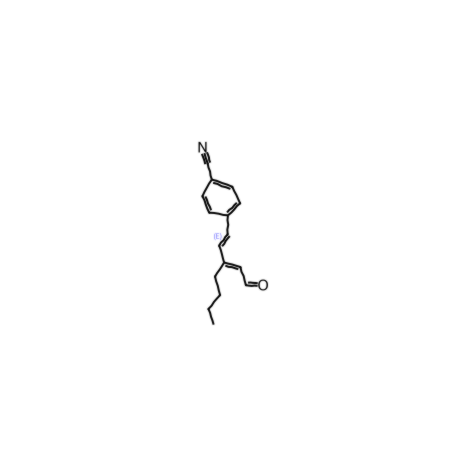 CCCCC(=CC=O)/C=C/c1ccc(C#N)cc1